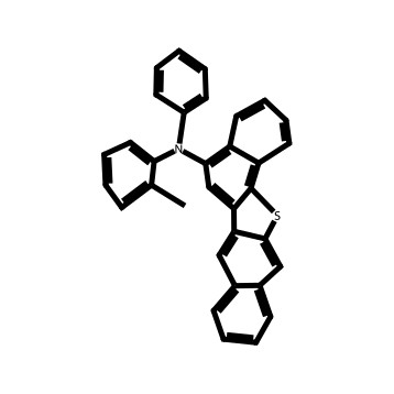 Cc1ccccc1N(c1ccccc1)c1cc2c3cc4ccccc4cc3sc2c2ccccc12